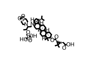 CC(OCP(=O)(O)O)C(CN[C@]12CC[C@@H](C(C)C)[C@@H]1[C@H]1CC[C@@H]3[C@@]4(C)CC[C@H](OC(=O)[C@H]5[C@@H](CC(=O)O)C5(C)C)C(C)(C)[C@@H]4CC[C@@]3(C)[C@]1(C)CC2)N1CCS(=O)(=O)CC1